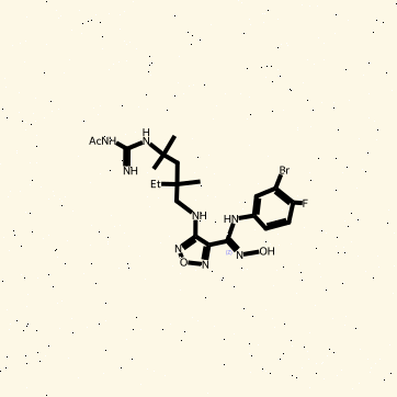 CCC(C)(CNc1nonc1/C(=N/O)Nc1ccc(F)c(Br)c1)CC(C)(C)NC(=N)NC(C)=O